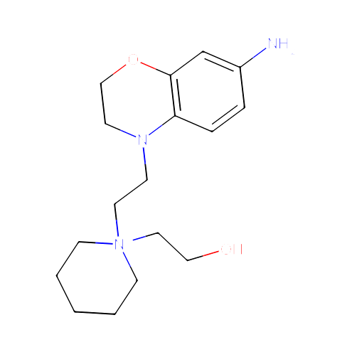 Nc1ccc2c(c1)OCCN2CC[N+]1(CCO)CCCCC1